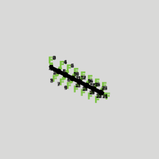 F[CH]C(F)(F)C(F)(F)C(F)(F)C(F)(F)C(F)(F)C(F)(F)C(F)(F)F